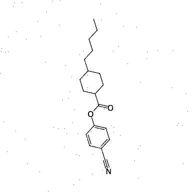 CCCCCC1CCC(C(=O)Oc2ccc(C#N)cc2)CC1